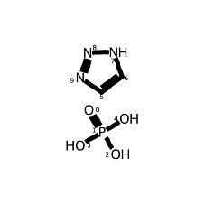 O=P(O)(O)O.c1c[nH]nn1